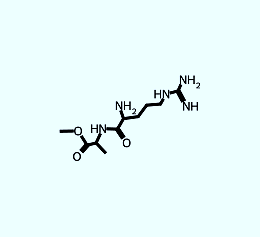 COC(=O)C(C)NC(=O)C(N)CCCNC(=N)N